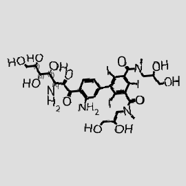 CN(CC(O)CO)C(=O)c1c(I)c(C(=O)N(C)CC(O)CO)c(I)c(-c2ccc(C(=O)C(=O)[C@H](N)[C@@H](O)[C@H](O)[C@H](O)CO)c(N)c2)c1I